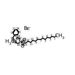 CCCCCCCCCCCCCCS(=O)(=O)N1CC[N+](C)(Cc2ccccc2)CC1.[Br-]